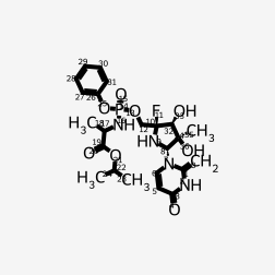 C=C1NC(=O)C=CN1[C@@H]1N[C@](F)(COP(=O)(NC(C)C(=O)OC(C)C)Oc2ccccc2)[C@@H](O)[C@@]1(C)O